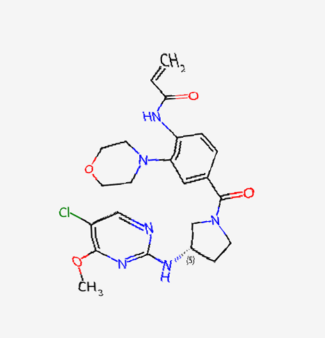 C=CC(=O)Nc1ccc(C(=O)N2CC[C@H](Nc3ncc(Cl)c(OC)n3)C2)cc1N1CCOCC1